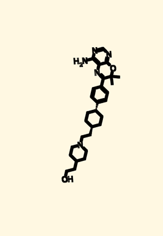 CC1(C)Oc2ncnc(N)c2N=C1c1ccc([C@H]2CC[C@H](CCN3CCC(CCO)CC3)CC2)cc1